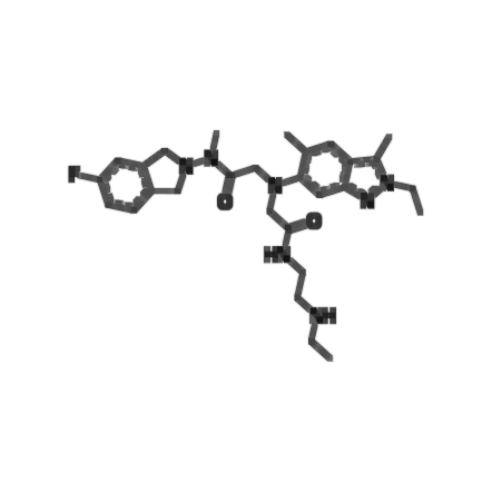 CCNCCNC(=O)CN(CC(=O)N(C)N1Cc2ccc(F)cc2C1)c1cc2nn(CC)c(C)c2cc1C